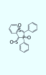 O=S=C(c1ccccc1)P(=O)(C(=S=O)c1ccccc1)c1ccccc1